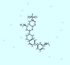 CS(=O)(=O)N1CCC(CC(CCN)C2CCc3ccc(-c4cccc(N)c4)cc3C2)CC1